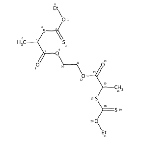 CCOC(=S)SC(C)C(=O)OCCOC(=O)C(C)SC(=S)OCC